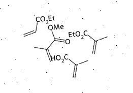 C=C(C)C(=O)O.C=C(C)C(=O)OC.C=C(C)C(=O)OCC.C=CC(=O)OCC